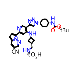 CC(C)(C)OC(=O)N[C@H]1CC[C@H](n2cc(-c3cnc(-c4ccc5cc(C#N)cnn45)cc3N[C@H]3C[C@H](CNC(=O)O)C3)nn2)CC1